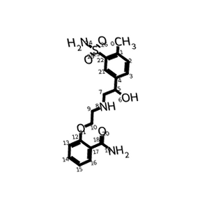 Cc1ccc(C(O)CNCCOc2ccccc2C(N)=O)cc1S(N)(=O)=O